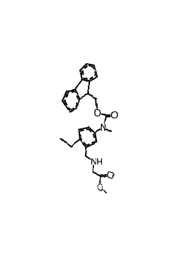 CCc1ccc(N(C)C(=O)OCC2c3ccccc3-c3ccccc32)cc1CNCC(=O)OC